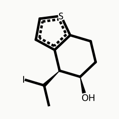 CC(I)[C@H]1c2ccsc2CC[C@H]1O